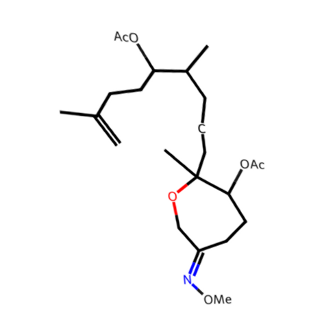 C=C(C)CCC(OC(C)=O)C(C)CCCC1(C)OC/C(=N/OC)CCC1OC(C)=O